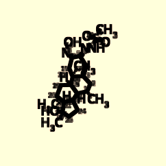 C[C@@H]1CC2=CC(=N\NS(C)(=O)=O)/C(=N\O)C[C@]2(C)[C@H]2CC[C@@]3(C)[C@@H](CC[C@]3(C)O)[C@H]12